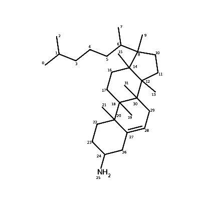 CC(C)CCCC(C)C1(C)CCC2(C)C1(C)CCC1(C)C3(C)CCC(N)CC3=CCC12C